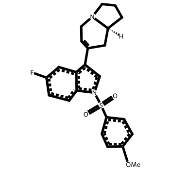 COc1ccc(S(=O)(=O)n2cc(C3=CCN4CCC[C@H]4C3)c3cc(F)ccc32)cc1